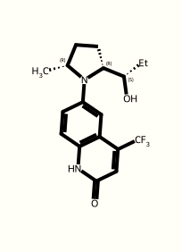 CC[C@H](O)[C@H]1CC[C@@H](C)N1c1ccc2[nH]c(=O)cc(C(F)(F)F)c2c1